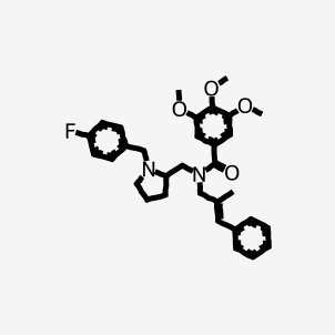 COc1cc(C(=O)N(C/C(C)=C/c2ccccc2)CC2CCCN2Cc2ccc(F)cc2)cc(OC)c1OC